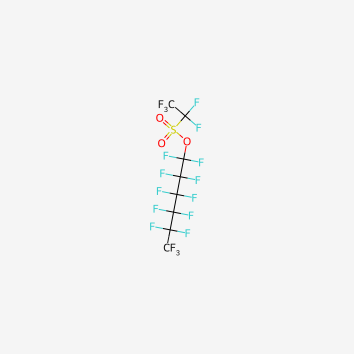 O=S(=O)(OC(F)(F)C(F)(F)C(F)(F)C(F)(F)C(F)(F)C(F)(F)F)C(F)(F)C(F)(F)F